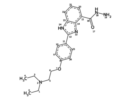 CCN(CC)CCOc1ccc(-c2nc3c(C(=O)NN)cccc3[nH]2)cc1